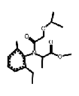 CCc1cccc(C)c1N(C(=O)COC(C)C)C(C)C(=O)OC